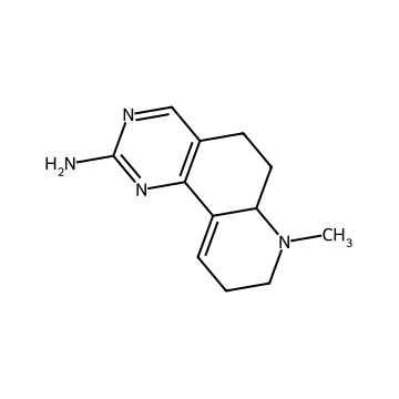 CN1CCC=C2c3nc(N)ncc3CCC21